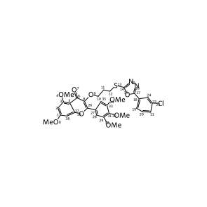 COc1cc(OC)c2c(=O)c(OCCCSc3nnc(-c4cccc(Cl)c4)o3)c(-c3cc(OC)c(OC)c(OC)c3)oc2c1